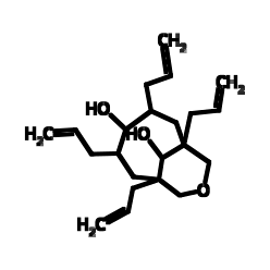 C=CCC1CC2(CC=C)COCC(CC=C)(CC(CC=C)C1O)C2O